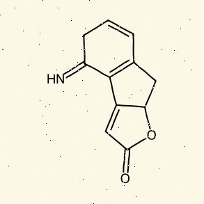 N=C1CC=CC2=C1C1=CC(=O)OC1C2